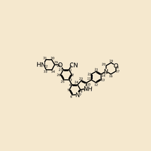 N#Cc1cc(-c2ccnc3[nH]c(-c4ccc(N5CCOCC5)cc4)cc23)ccc1OC1CCNCC1